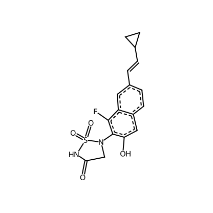 O=C1CN(c2c(O)cc3ccc(/C=C/C4CC4)cc3c2F)S(=O)(=O)N1